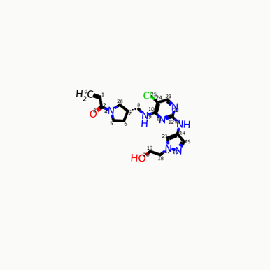 C=CC(=O)N1CC[C@@H](CNc2nc(Nc3cnn(CCO)c3)ncc2Cl)C1